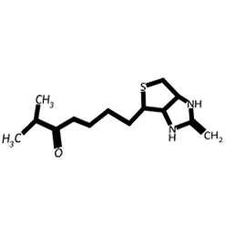 C=C1NC2CSC(CCCCC(=O)C(C)C)C2N1